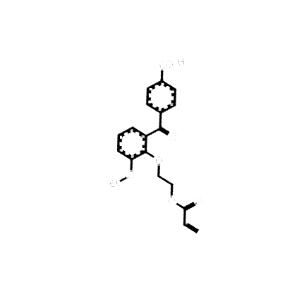 C=CC(=O)OCCOc1c(OCC)cccc1C(=O)c1ccc(C(=O)O)cc1